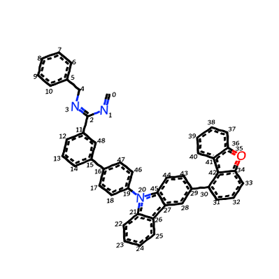 C=N/C(=N\Cc1ccccc1)c1cccc(-c2ccc(-n3c4ccccc4c4cc(-c5cccc6oc7ccccc7c56)ccc43)cc2)c1